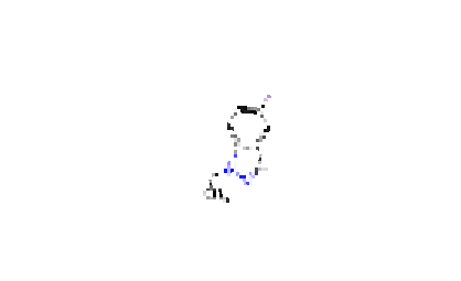 CCn1n[c]c2cc(I)ccc21